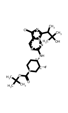 CC(c1nc(Cl)c2cnc(N[C@H]3CCN(C(=O)OC(C)(C)C)C[C@H]3F)nn12)C(C)(C)O